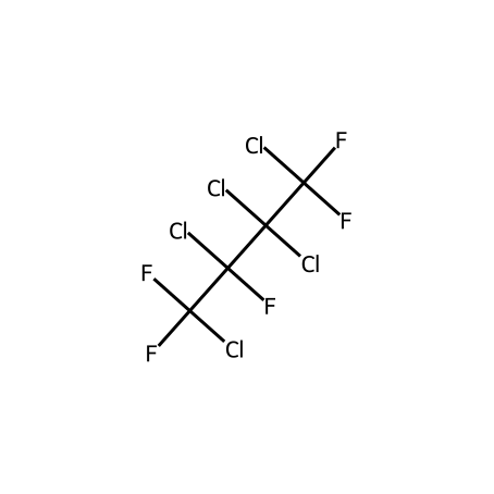 FC(F)(Cl)C(F)(Cl)C(Cl)(Cl)C(F)(F)Cl